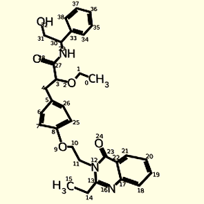 CCOC(Cc1ccc(OCCn2c(CC)nc3ccccc3c2=O)cc1)C(=O)NC(CO)c1ccccc1